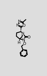 Cc1nnc([C@@H]2CC[C@@H]3CN2C(=O)N3OCc2ccccc2)o1